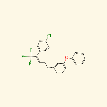 FC(F)(F)/C(=C/CCc1cccc(Oc2ccccc2)c1)c1ccc(Cl)cc1